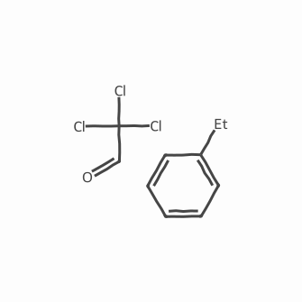 CCc1ccccc1.O=CC(Cl)(Cl)Cl